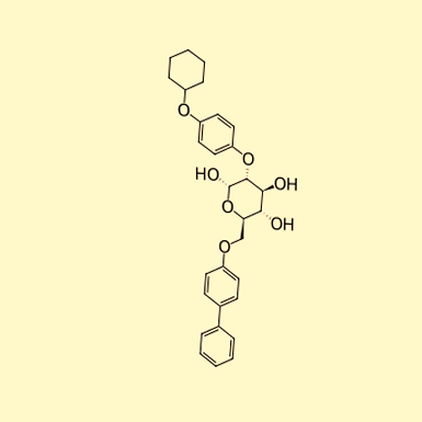 O[C@H]1[C@H](O)[C@@H](COc2ccc(-c3ccccc3)cc2)O[C@H](O)[C@@H]1Oc1ccc(OC2CCCCC2)cc1